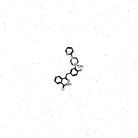 O=c1[nH]nc(Cc2ccc(F)c([PH]3(O)CCN(c4ccccn4)CC3)c2)c2ccccc12